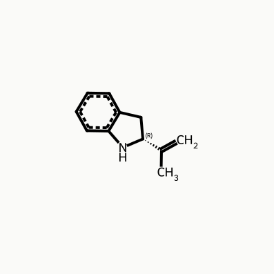 C=C(C)[C@H]1Cc2ccccc2N1